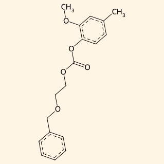 COc1cc(C)ccc1OC(=O)OCCOCc1ccccc1